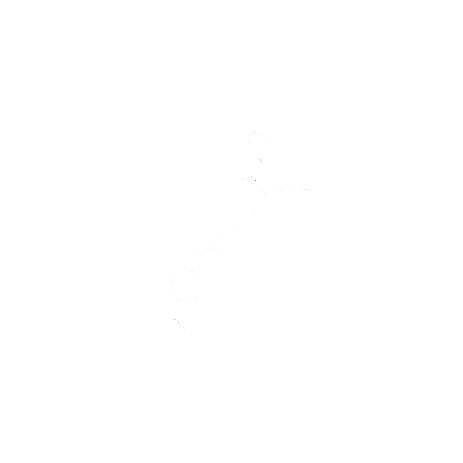 CN(C)c1ccc(COCCCC[C@H](NC(=O)OC(C)(C)C)C(=O)O)cc1